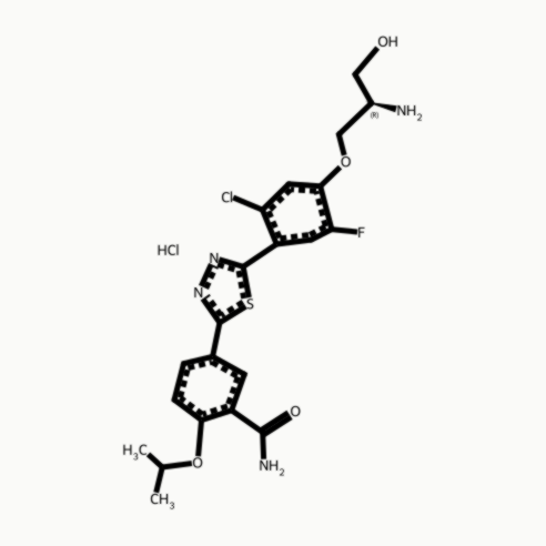 CC(C)Oc1ccc(-c2nnc(-c3cc(F)c(OC[C@H](N)CO)cc3Cl)s2)cc1C(N)=O.Cl